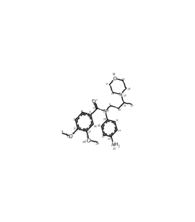 COc1ccc(C(=O)N(CCC(C)N2CCOCC2)c2ccc(N)cc2)cc1OC